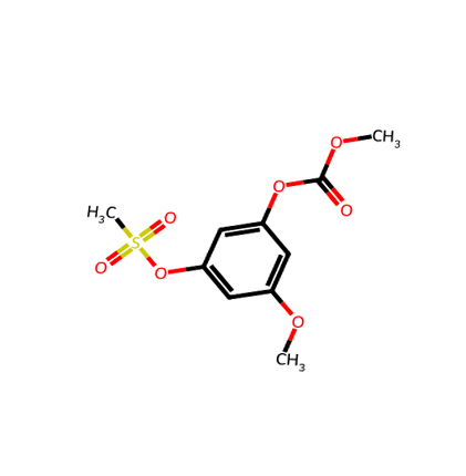 COC(=O)Oc1cc(OC)cc(OS(C)(=O)=O)c1